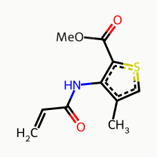 C=CC(=O)Nc1c(C)csc1C(=O)OC